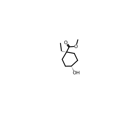 CC[C@]1(C(=O)OC)CC[C@H](O)CC1